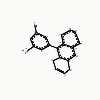 Bc1cc(Br)cc(-c2c3c(cc4ccccc24)CC=CC3)c1